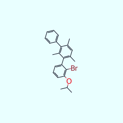 Cc1cc(C)c(-c2cccc(OC(C)C)c2Br)c(C)c1-c1ccccc1